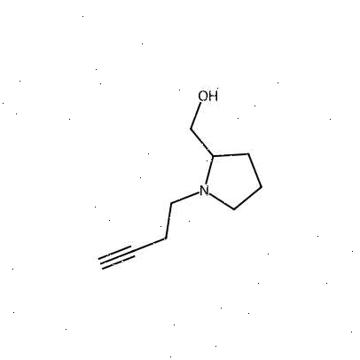 C#CCCN1CCCC1CO